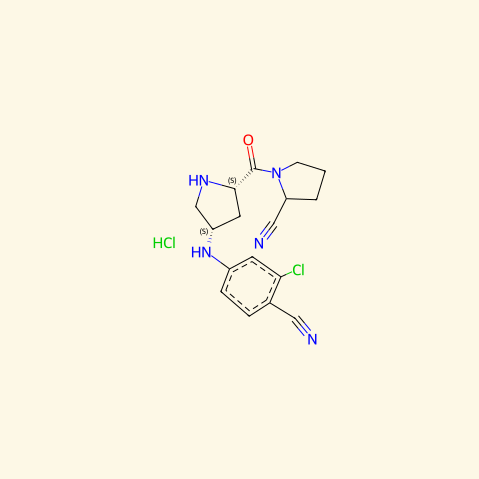 Cl.N#Cc1ccc(N[C@@H]2CN[C@H](C(=O)N3CCCC3C#N)C2)cc1Cl